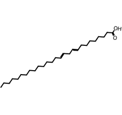 CCCCCCCCCCCCCCC=CCC=CCCCCCCCC(=O)O